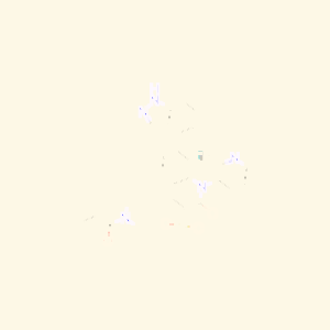 C=CC(=O)N1CCC(c2c(S(C)(=O)=O)c(=O)n(-c3c(C)ccnc3C(C)C)c3c(F)c(-c4c(C)ccc5[nH]ncc45)c(Cl)cc23)CC1